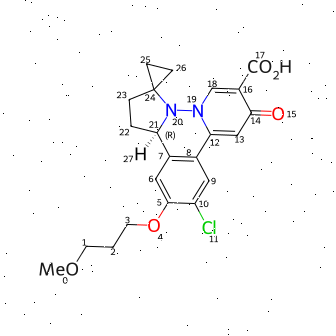 COCCCOc1cc2c(cc1Cl)-c1cc(=O)c(C(=O)O)cn1N1[C@@H]2CCC12CC2